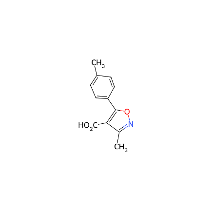 Cc1ccc(-c2onc(C)c2C(=O)O)cc1